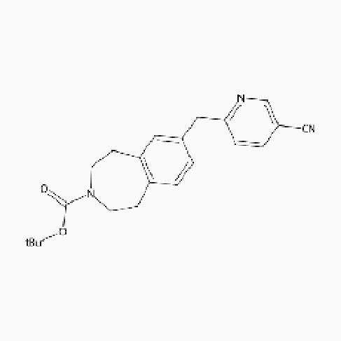 CC(C)(C)OC(=O)N1CCc2ccc(Cc3ccc(C#N)cn3)cc2CC1